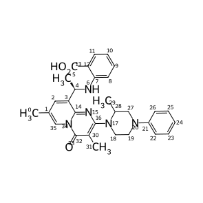 Cc1cc([C@@H](C)Nc2ccccc2C(=O)O)c2nc(N3CCN(c4ccccc4)CC3C)c(C)c(=O)n2c1